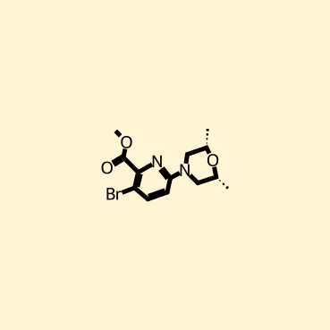 COC(=O)c1nc(N2C[C@@H](C)O[C@@H](C)C2)ccc1Br